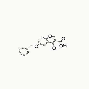 O=C(O)c1coc2ccc(OCc3ccccc3)cc2c1=O